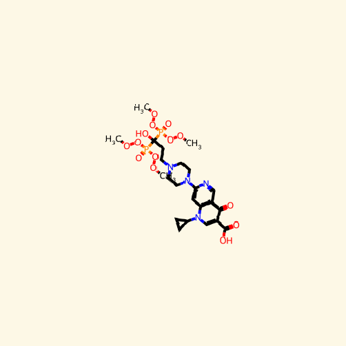 COOP(=O)(OOC)C(O)(CCN1CCN(c2cc3c(cn2)c(=O)c(C(=O)O)cn3C2CC2)CC1)P(=O)(OOC)OOC